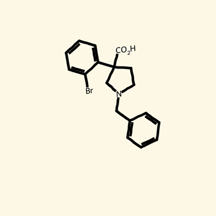 O=C(O)C1(c2ccccc2Br)CCN(Cc2ccccc2)C1